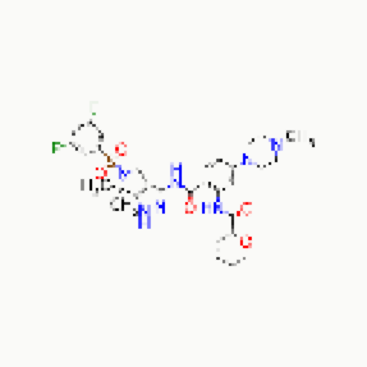 CN1CCN(c2ccc(C(=O)Nc3n[nH]c4c3CN(S(=O)(=O)c3cc(F)cc(F)c3)C4(C)C)c(NC(=O)C3CCCCO3)c2)CC1